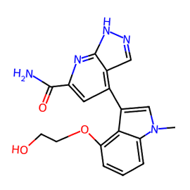 Cn1cc(-c2cc(C(N)=O)nc3[nH]ncc23)c2c(OCCO)cccc21